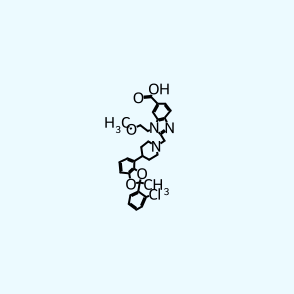 COCCn1c(CN2CCC(c3cccc4c3OC(C)(c3ccccc3Cl)O4)CC2)nc2ccc(C(=O)O)cc21